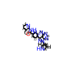 Cc1cccnc1NC(=O)c1ccc(-c2nn([C@@H]3C[C@@H]4CN[C@@H]3C4)c3ncnc(N)c23)cc1